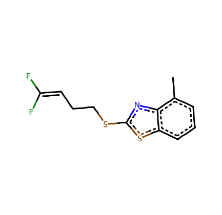 Cc1cccc2sc(SCCC=C(F)F)nc12